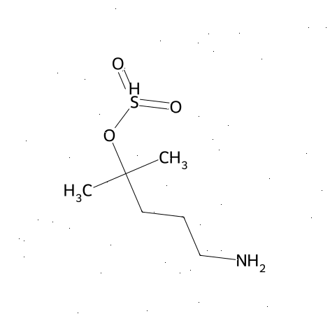 CC(C)(CCCN)O[SH](=O)=O